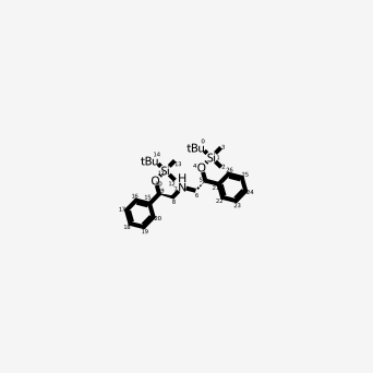 CC(C)(C)[Si](C)(C)O[C@@H](CNC[C@H](O[Si](C)(C)C(C)(C)C)c1ccccc1)c1ccccc1